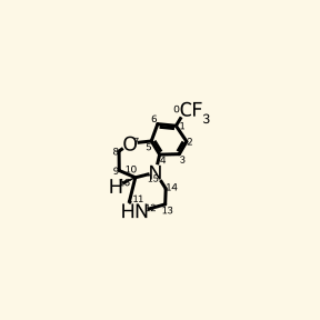 FC(F)(F)c1ccc2c(c1)OCC[C@H]1CNCCN21